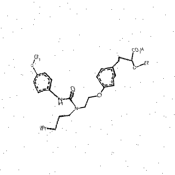 CCOC(Cc1ccc(OCCN(CCCC(C)C)C(=O)Nc2ccc(OC(F)(F)F)cc2)cc1)C(=O)O